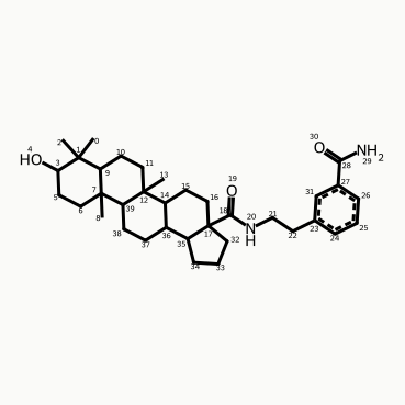 CC1(C)C(O)CCC2(C)C1CCC1(C)C3CCC4(C(=O)NCCc5cccc(C(N)=O)c5)CCCC4C3CCC12